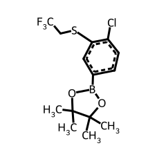 CC1(C)OB(c2ccc(Cl)c(SCC(F)(F)F)c2)OC1(C)C